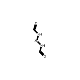 O=C[NH][Zr][NH]C=O